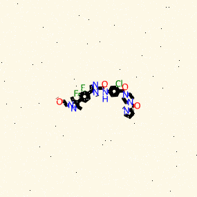 COCCn1nc(C)c(-c2ccc(-c3cnc(C(=O)Nc4ccc(C(=O)N5CCN(C(=O)[C@@H]6CCCN6C)CC5)c(Cl)c4)n3C)c(F)c2F)c1C